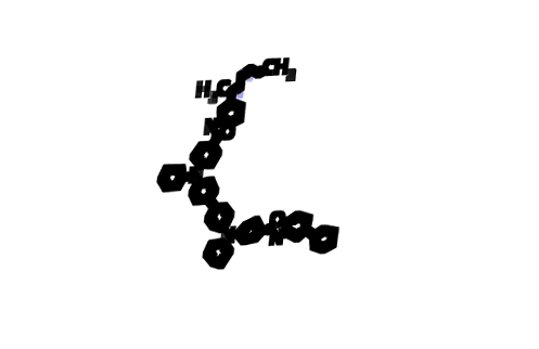 C=C/C=C\C=C(/C)c1ccc2oc(-c3ccc(N(c4ccccc4)c4ccc(-c5ccc(N(c6ccccc6)c6ccc(-c7nc8cc(-c9ccccc9)ccc8o7)cc6)cc5)cc4)cc3)nc2c1